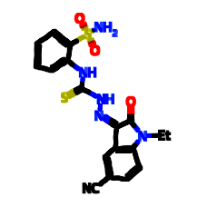 CCN1C(=O)C(=NNC(=S)Nc2ccccc2S(N)(=O)=O)c2cc(C#N)ccc21